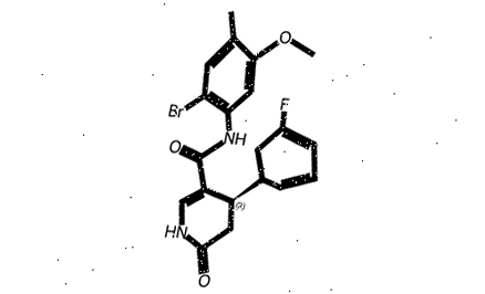 COc1cc(NC(=O)C2=CNC(=O)C[C@@H]2C2C=CC=C(F)C2)c(Br)cc1C